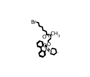 CN(CCOC(=O)N(c1ccccc1-c1ccccc1)N1CC[CH]CC1)C(=O)CCCCCBr